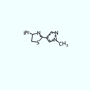 CC(C)C1CSC(c2cnn(C)c2)=N1